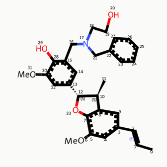 C/C=C/c1cc(OC)c2c(c1)[C@H](C)[C@@H](c1cc(CN(CCO)Cc3ccccc3)c(O)c(OC)c1)O2